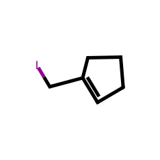 ICC1=CCCC1